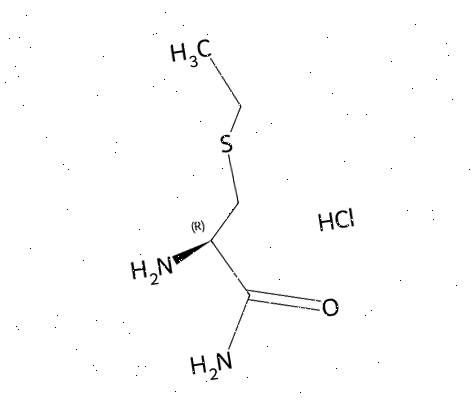 CCSC[C@H](N)C(N)=O.Cl